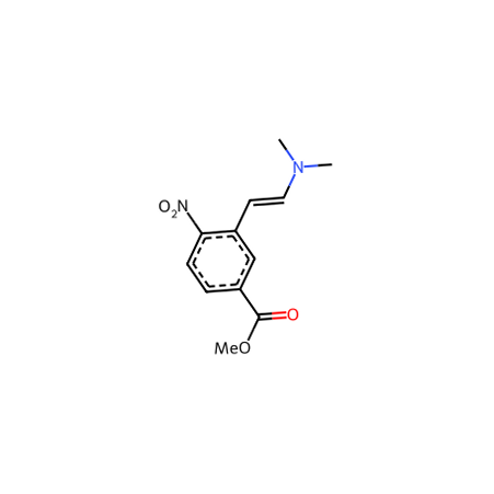 COC(=O)c1ccc([N+](=O)[O-])c(C=CN(C)C)c1